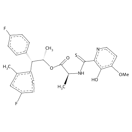 COc1ccnc(C(=S)N[C@@H](C)C(=O)O[C@@H](C)[C@@H](c2ccc(F)cc2)c2ccc(F)cc2C)c1O